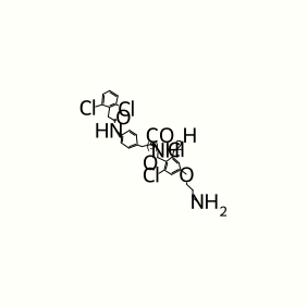 NCCCOc1cc(Cl)c(C(=O)N[C@@H](Cc2ccc(NC(=O)Cc3c(Cl)cccc3Cl)cc2)C(=O)O)c(Cl)c1